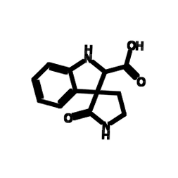 O=C(O)C1Nc2ccccc2C12CCNC2=O